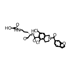 O=C[C@H](CCCNS(=O)#CO)NC(=O)c1c(Cl)cc2c(c1Cl)CCN(C(=O)c1ccc3ccoc3c1)C2